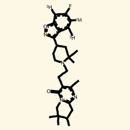 [2H]c1c(F)c([2H])c2onc(C3CCN(CCc4c(C)nc5n(c4=O)CC(C)(C)C(C)C5)C(C)(C)C3)c2c1[2H]